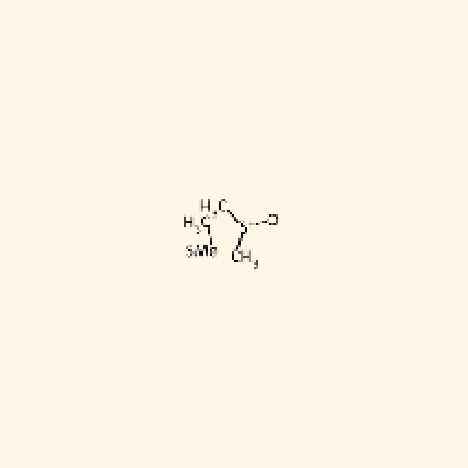 CSC.C[S+](C)[O-]